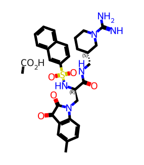 CC(=O)O.Cc1ccc2c(c1)C(=O)C(=O)N2C[C@@H](NS(=O)(=O)c1ccc2ccccc2c1)C(=O)NC[C@@H]1CCCN(C(=N)N)C1